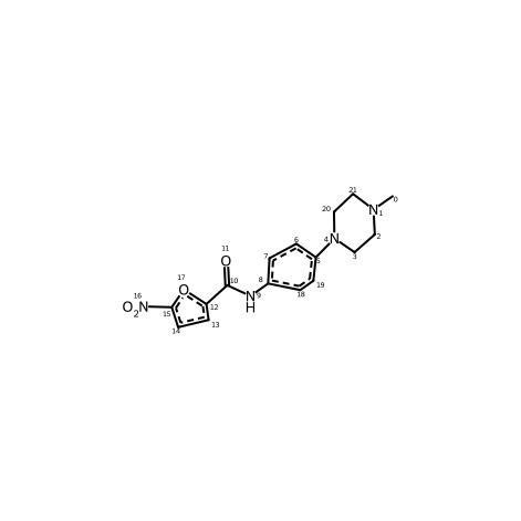 CN1CCN(c2ccc(NC(=O)c3ccc([N+](=O)[O-])o3)cc2)CC1